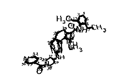 CCc1cccc(CC)c1NC(=O)c1nn(C)c2c1CCc1cnc(NC3CCN(C(=O)c4ccncc4)CC3)nc1-2